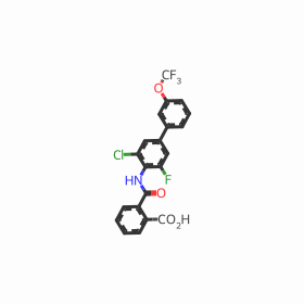 O=C(O)c1ccccc1C(=O)Nc1c(F)cc(-c2cccc(OC(F)(F)F)c2)cc1Cl